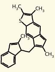 CC1=Cc2ccccc2C1CC1=C(C)C=C2C=C3C(C)=C(C)SC3C=C21